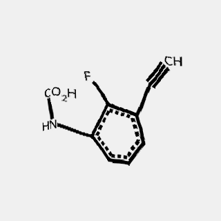 C#Cc1cccc(NC(=O)O)c1F